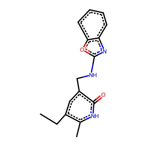 CCc1cc(CNc2nc3ccccc3o2)c(=O)[nH]c1C